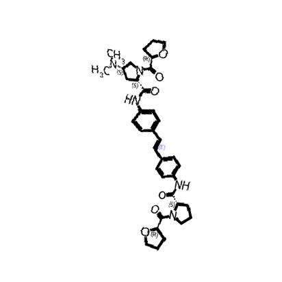 CN(C)[C@H]1C[C@@H](C(=O)Nc2ccc(/C=C/c3ccc(NC(=O)[C@@H]4CCCN4C(=O)[C@H]4CCCO4)cc3)cc2)N(C(=O)[C@H]2CCCO2)C1